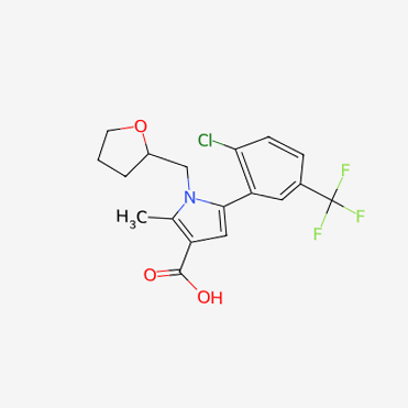 Cc1c(C(=O)O)cc(-c2cc(C(F)(F)F)ccc2Cl)n1CC1CCCO1